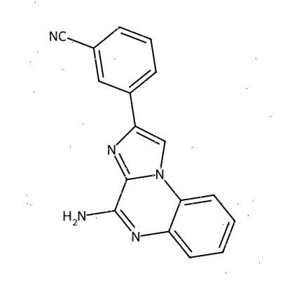 N#Cc1cccc(-c2cn3c(n2)c(N)nc2ccccc23)c1